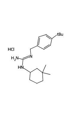 CC1(C)CCCC(NC(N)=NCc2ccc(C(C)(C)C)cc2)C1.Cl